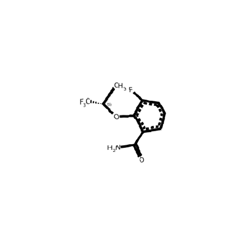 C[C@H](Oc1c(F)cccc1C(N)=O)C(F)(F)F